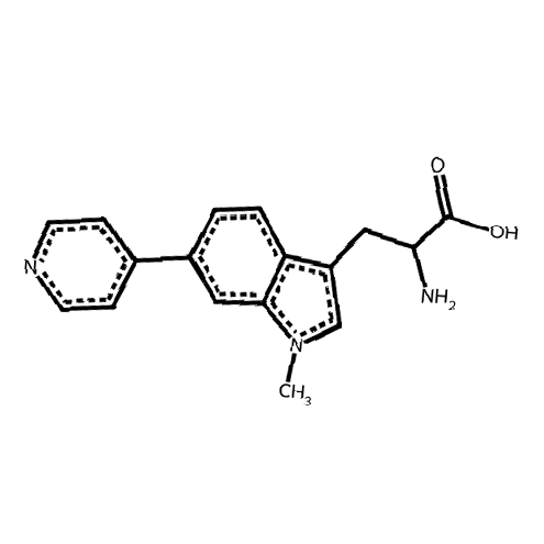 Cn1cc(CC(N)C(=O)O)c2ccc(-c3ccncc3)cc21